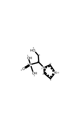 O=P(O)(O)C(CO)n1ccnc1